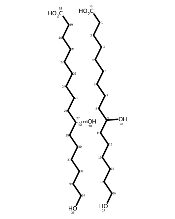 O=C(O)CCCCCCCCC(O)CCCCCCO.O=C(O)CCCCCCCC[C@H](O)CCCCCCO